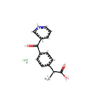 CC(C(=O)O)c1ccc(C(=O)c2cccnc2)cc1.Cl